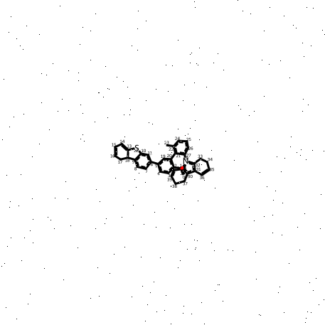 C=Cc1ccc(-c2ccc3c(c2)SC2=CC=CCC23)cc1-c1c(C)cccc1-n1c2c(c3c1CCC=C3)CCC=C2